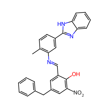 Cc1ccc(-c2nc3ccccc3[nH]2)cc1N=Cc1cc(Cc2ccccc2)cc([N+](=O)[O-])c1O